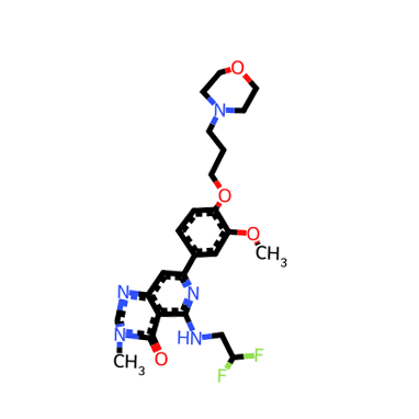 COc1cc(-c2cc3ncn(C)c(=O)c3c(NCC(F)F)n2)ccc1OCCCN1CCOCC1